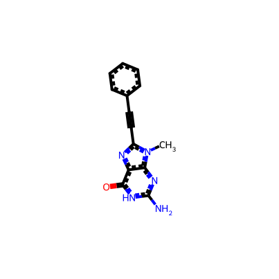 Cn1c(C#Cc2ccccc2)nc2c(=O)[nH]c(N)nc21